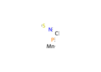 [C].[Mn].[N].[P].[S]